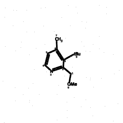 COCc1nccc(C)c1C(C)(C)C